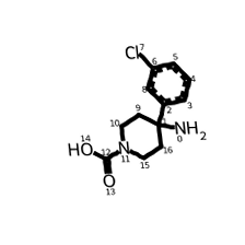 NC1(c2cccc(Cl)c2)CCN(C(=O)O)CC1